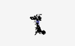 CC1CN(C(=O)/C=C/c2ccc(C(F)(F)F)nc2N2CCCCC2)CCC12CC(c1ccccc1)=NO2